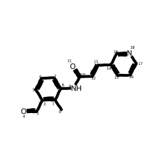 Cc1c(C=O)cccc1NC(=O)C=Cc1cccnc1